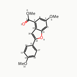 COC(=O)c1cc(OC)cc2oc(-c3ccc(OC)cc3)cc12